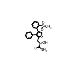 CS(=O)(=O)c1ccccc1-c1csc(CN(O)C(N)=O)c1-c1ccccc1